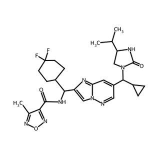 Cc1nonc1C(=O)NC(c1cn2ncc(C(C3CC3)N3CC(C(C)C)NC3=O)cc2n1)C1CCC(F)(F)CC1